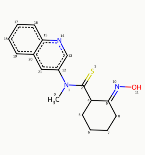 CN(C(=S)C1CCCCC1=NO)c1cnc2ccccc2c1